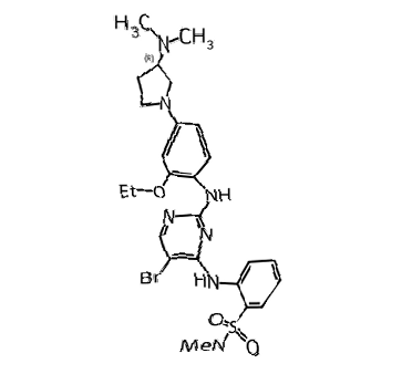 CCOc1cc(N2CC[C@@H](N(C)C)C2)ccc1Nc1ncc(Br)c(Nc2ccccc2S(=O)(=O)NC)n1